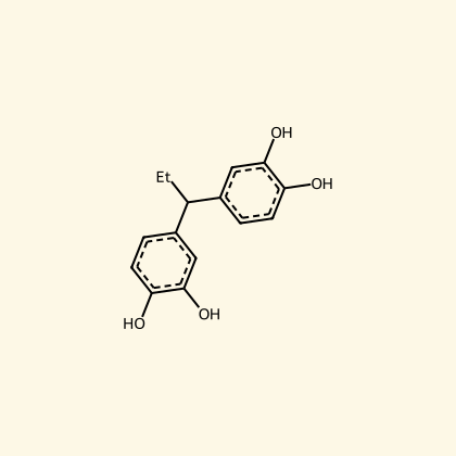 CCC(c1ccc(O)c(O)c1)c1ccc(O)c(O)c1